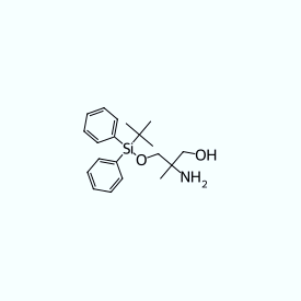 CC(N)(CO)CO[Si](c1ccccc1)(c1ccccc1)C(C)(C)C